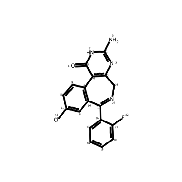 Nc1nc2c(c(=O)[nH]1)-c1ccc(Cl)cc1C(c1ccccc1F)=NC2